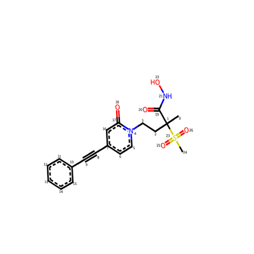 CC(CCn1ccc(C#Cc2ccccc2)cc1=O)(C(=O)NO)S(C)(=O)=O